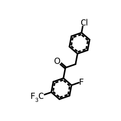 O=C(Cc1ccc(Cl)cc1)c1cc(C(F)(F)F)ccc1F